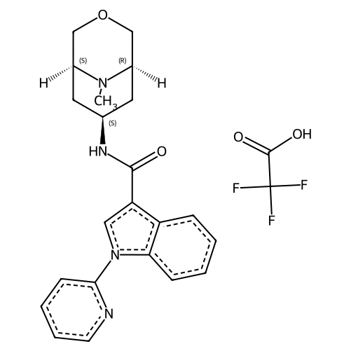 CN1[C@@H]2COC[C@H]1C[C@@H](NC(=O)c1cn(-c3ccccn3)c3ccccc13)C2.O=C(O)C(F)(F)F